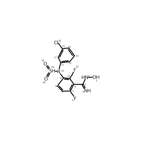 N=C(NO)c1c(F)ccc(N(c2cccc(Cl)c2)[SH](=O)=O)c1F